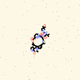 CCn1c(-c2cccnc2[C@H](C)OC)c2c3cc(ccc31)-c1csc(n1)C[C@H](NC(=O)C(C(C)C)N(C)C(=O)N1CCC3(COC3)C1)C(=O)N1CCC[C@H](N1)C(=O)OCC(C)(C)C2